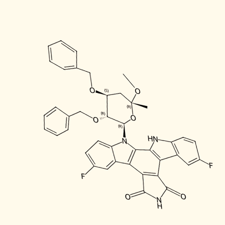 CO[C@@]1(C)C[C@H](OCc2ccccc2)[C@@H](OCc2ccccc2)[C@H](n2c3ccc(F)cc3c3c4c(c5c6cc(F)ccc6[nH]c5c32)C(=O)NC4=O)O1